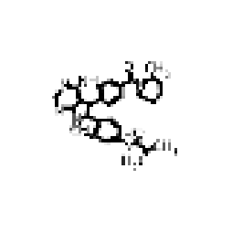 C=C(C)C(=O)Nc1ccc(-c2c(-c3ccc(C(=O)N4CCCC[C@H]4C)cc3)c3c(N)ncnc3n2C)c(F)c1